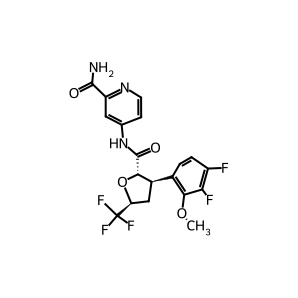 COc1c([C@H]2C[C@@H](C(F)(F)F)O[C@@H]2C(=O)Nc2ccnc(C(N)=O)c2)ccc(F)c1F